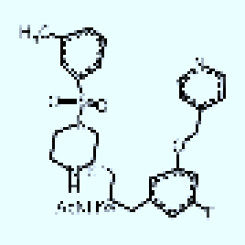 CC(=O)N[C@@H](Cc1cc(F)cc(OCc2ccncc2)c1)C[C@H]1CN(S(=O)(=O)c2cccc(C)c2)CCN1